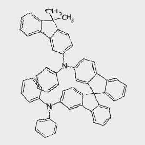 CC1(C)c2ccccc2-c2cc(N(c3ccccc3)c3ccc4c(c3)C3(c5ccccc5-c5cc(N(c6ccccc6)c6ccccc6)ccc53)c3ccccc3-4)ccc21